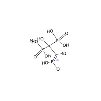 CC/C(=[P+](\[O-])O)C(O)(P(=O)(O)O)P(=O)(O)O.[Na]